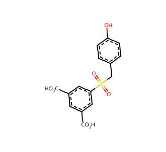 O=C(O)c1cc(C(=O)O)cc(S(=O)(=O)Cc2ccc(O)cc2)c1